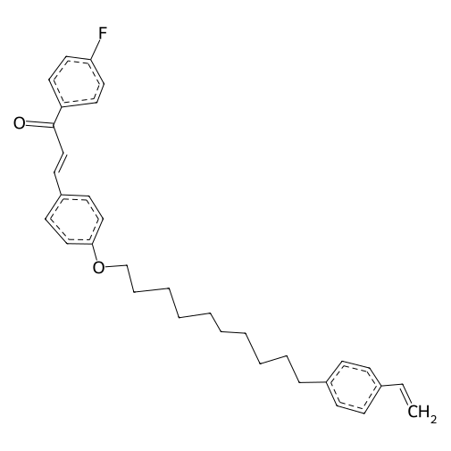 C=Cc1ccc(CCCCCCCCCCOc2ccc(C=CC(=O)c3ccc(F)cc3)cc2)cc1